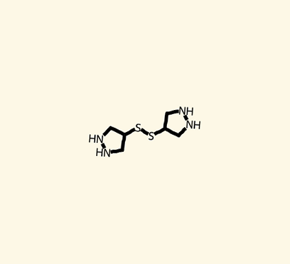 C1NNCC1SSC1CNNC1